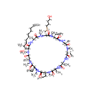 CC[C@@H]1NC(=O)[C@H]([C@H](O)[C@H](C)CCCCCCNC(C)=O)N(C)C(=O)[C@H](C(C)C)N(C)C(=O)[C@H](CC(C)C)N(C)C(=O)[C@H](CC(C)C)N(C)C(=O)[C@H](C)NC(=O)[C@@H](C)NC(=O)[C@@H](CC(C)C)N(C)C(=O)[C@@H](C(C)C)NC(=O)[C@H](CC(C)C)N(C)C(=O)[C@@H](CSCCCCO)N(C)C1=O